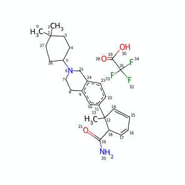 CC1(C)CCC(N2CCc3cc(C4(C)C=CC=CC4C(N)=O)ccc3C2)CC1.O=C(O)C(F)(F)F